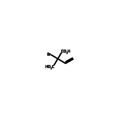 C=CC(Br)(C(=O)O)C(=O)O